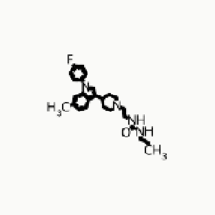 CCCNC(=O)NCCN1CCC(c2cn(-c3ccc(F)cc3)c3cc(C)ccc23)CC1